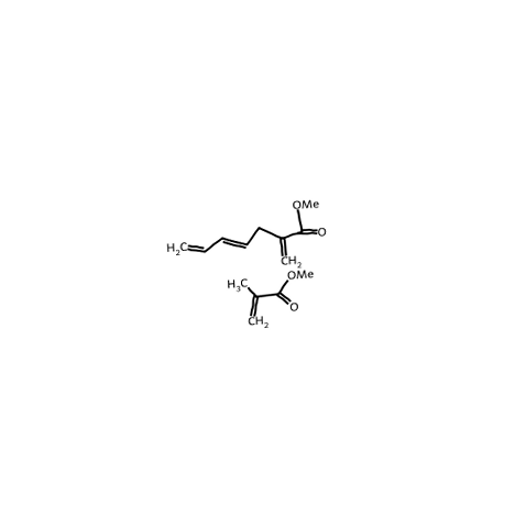 C=C(C)C(=O)OC.C=CC=CCC(=C)C(=O)OC